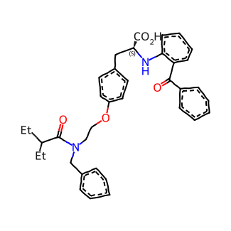 CCC(CC)C(=O)N(CCOc1ccc(C[C@H](Nc2ccccc2C(=O)c2ccccc2)C(=O)O)cc1)Cc1ccccc1